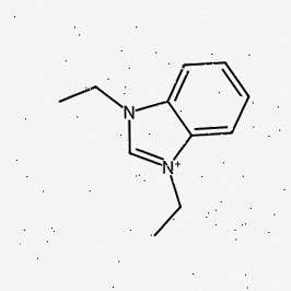 CCn1c[n+](CC)c2ccccc21